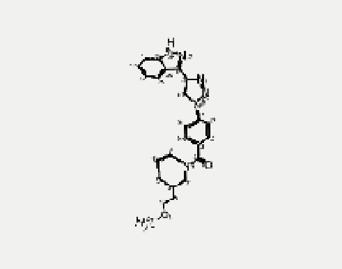 COCCC1CCCN(C(=O)c2ccc(N3CC(c4n[nH]c5ccccc45)N=N3)cc2)C1